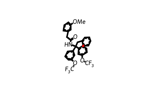 COc1cccc(CC(=O)NC(Cc2ccccc2)(c2cccc(OC(F)(F)F)c2)c2cccc(OC(F)(F)F)c2)c1